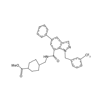 COC(=O)C1CCC(CNC(=O)c2cc(-c3ccccc3)cc3cnn(Cc4cccc(C(F)(F)F)c4)c23)CC1